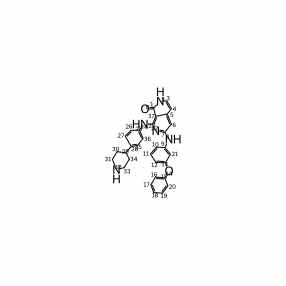 O=c1[nH]ccc2cc(Nc3cccc(Oc4ccccc4)c3)nc(Nc3ccc(C4CCNCC4)cc3)c12